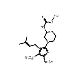 CCOC(=O)c1c(NC(C)=O)nc(N2CCCC(NC(=O)OC(C)(C)C)C2)n1CC=C(C)C